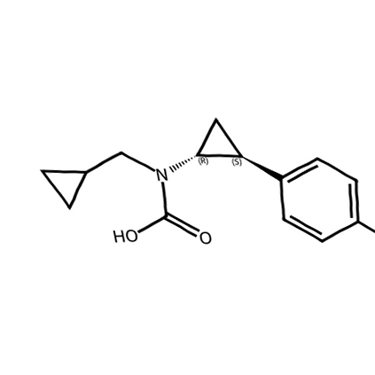 O=C(O)N(CC1CC1)[C@@H]1C[C@H]1c1ccc(Br)cc1